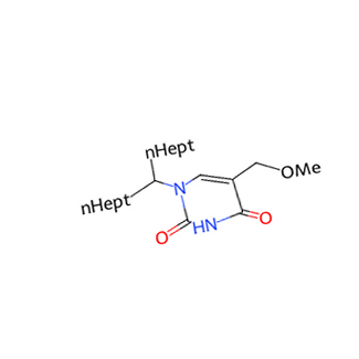 CCCCCCCC(CCCCCCC)n1cc(COC)c(=O)[nH]c1=O